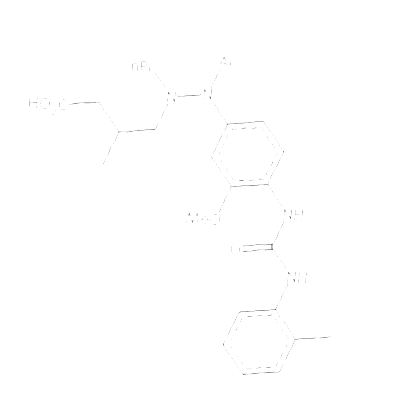 CCCN(CC(C)CC(=O)O)N(C(C)=O)c1ccc(NC(=O)Nc2ccccc2C)c(OC)c1